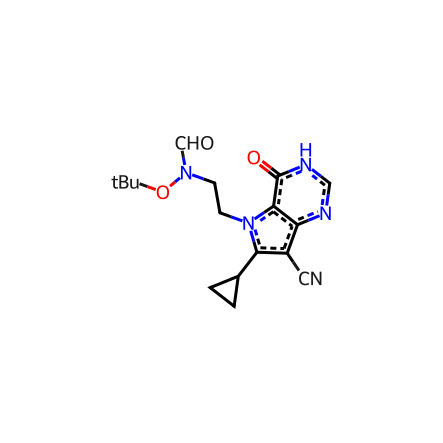 CC(C)(C)ON(C=O)CCn1c(C2CC2)c(C#N)c2nc[nH]c(=O)c21